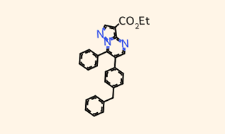 CCOC(=O)c1cnn2c(-c3ccccc3)c(-c3ccc(Cc4ccccc4)cc3)cnc12